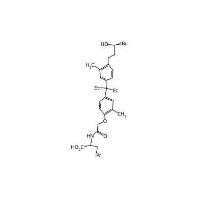 CCC(CC)(c1ccc(CC[C@@H](O)C(C)(C)C)c(C)c1)c1ccc(OCC(=O)NC(CC(C)C)C(=O)O)c(C)c1